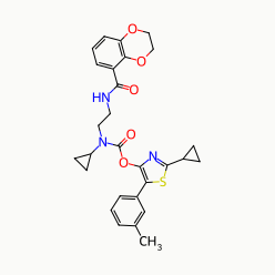 Cc1cccc(-c2sc(C3CC3)nc2OC(=O)N(CCNC(=O)c2cccc3c2OCCO3)C2CC2)c1